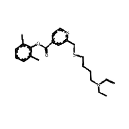 CCN(CC)CCCCSCc1cc(C(=O)Oc2c(C)cccc2C)ccn1